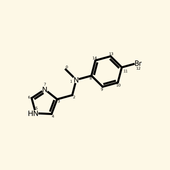 CN(Cc1c[nH]cn1)c1ccc(Br)cc1